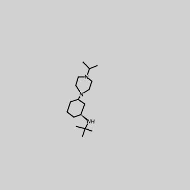 CC(C)N1CCN([C@@H]2CCC[C@H](NC(C)(C)C)C2)CC1